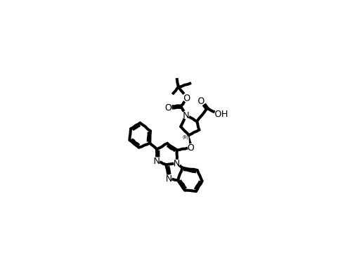 CC(C)(C)OC(=O)N1C[C@H](Oc2cc(-c3ccccc3)nc3nc4ccccc4n23)CC1C(=O)O